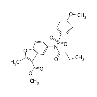 CCCC(=O)N(c1ccc2oc(C)c(C(=O)OC)c2c1)S(=O)(=O)c1ccc(OC)cc1